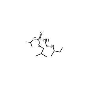 CCC(C)N=CNP(=S)(OC(C)C)SCC(C)C